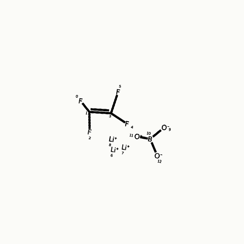 FC(F)=C(F)F.[Li+].[Li+].[Li+].[O-]B([O-])[O-]